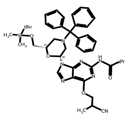 CC(C#N)COc1nc(NC(=O)C(C)C)nc2c1ncn2[C@H]1CN(C(c2ccccc2)(c2ccccc2)c2ccccc2)C[C@@H](CO[Si](C)(C)C(C)(C)C)O1